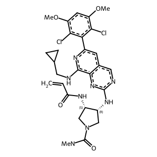 C=CC(=O)N[C@H]1CN(C(=O)NC)C[C@H]1Nc1ncc2cc(-c3c(Cl)c(OC)cc(OC)c3Cl)nc(NCC3CC3)c2n1